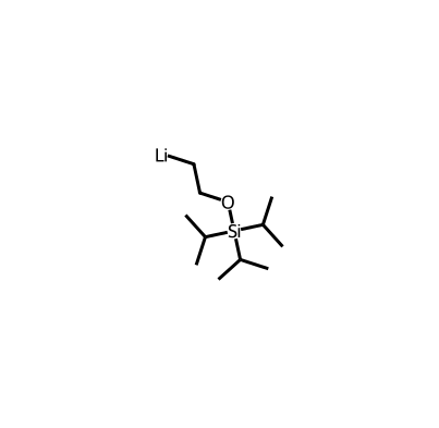 [Li][CH2]CO[Si](C(C)C)(C(C)C)C(C)C